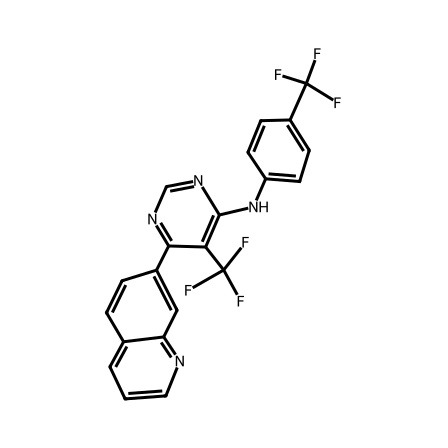 FC(F)(F)c1ccc(Nc2ncnc(-c3ccc4cccnc4c3)c2C(F)(F)F)cc1